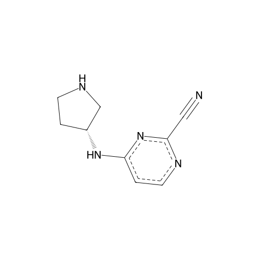 N#Cc1nccc(N[C@@H]2CCNC2)n1